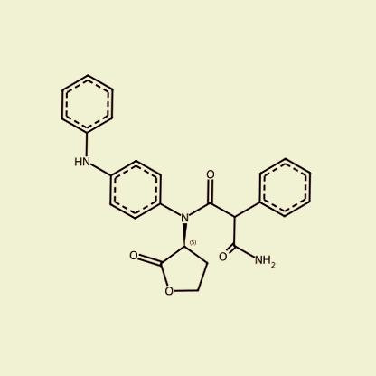 NC(=O)C(C(=O)N(c1ccc(Nc2ccccc2)cc1)[C@H]1CCOC1=O)c1ccccc1